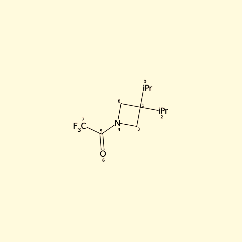 CC(C)C1(C(C)C)CN(C(=O)C(F)(F)F)C1